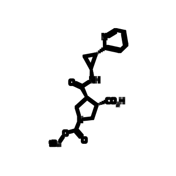 CC(C)(C)OC(=O)N1C[C@@H](C(=O)O)[C@H](C(=O)N[C@H]2C[C@@H]2c2ccccn2)C1